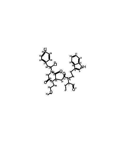 CCC(C=O)N(CCc1c[nH]c2ccccc12)C(=O)CC1C(=O)N(C(Cl)Cc2ccc(Cl)cc2)CC(=O)N1CCOC